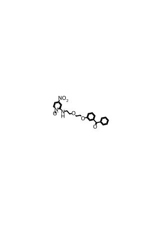 O=C(c1ccccc1)c1cccc(OCCOCCNc2cc([N+](=O)[O-])cc[n+]2[O-])c1